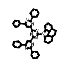 c1ccc(-c2cc(-c3nc(-c4cc(-c5ccccc5)nc(-c5ccccc5)n4)nc(-n4c5cccc6ccc7cccc4c7c65)n3)nc(-c3ccccc3)n2)cc1